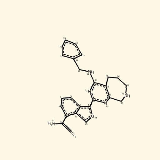 NC(=O)c1cccc2c(-c3nc4c(c(NCc5ccccc5)n3)CCCNC4)occ12